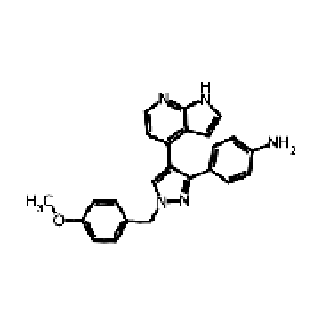 COc1ccc(Cn2cc(-c3ccnc4[nH]ccc34)c(-c3ccc(N)cc3)n2)cc1